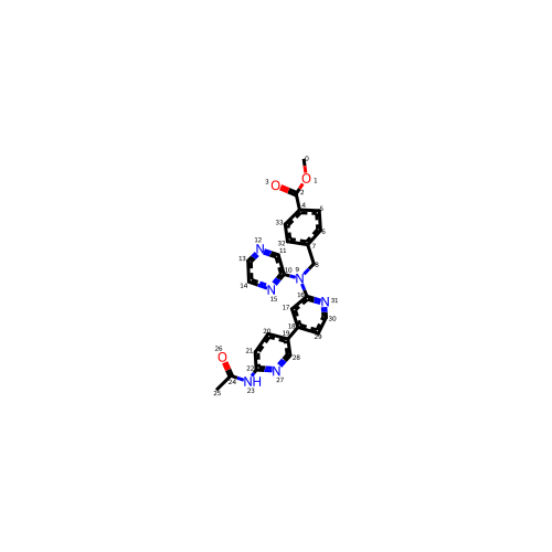 COC(=O)c1ccc(CN(c2cnccn2)c2cc(-c3ccc(NC(C)=O)nc3)ccn2)cc1